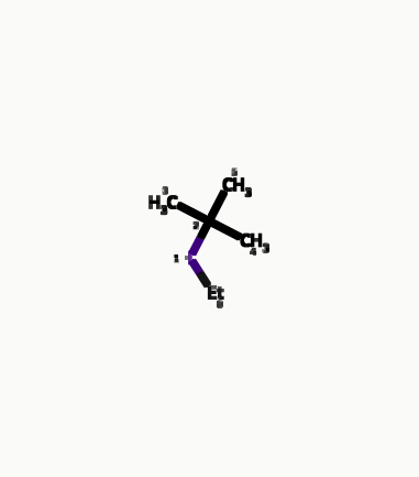 CC[I]C(C)(C)C